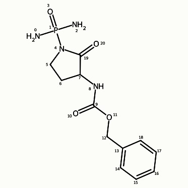 NP(N)(=O)N1CCC(NC(=O)OCc2ccccc2)C1=O